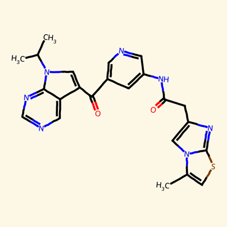 Cc1csc2nc(CC(=O)Nc3cncc(C(=O)c4cn(C(C)C)c5ncncc45)c3)cn12